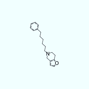 c1ccc(CCCCCCN2CCc3occc3C2)cc1